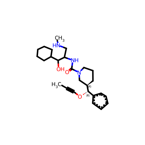 CC#CO[C@@H](c1ccccc1)[C@@H]1CCCN(C(=O)NC(CNC)C(O)C2CCCCC2)C1